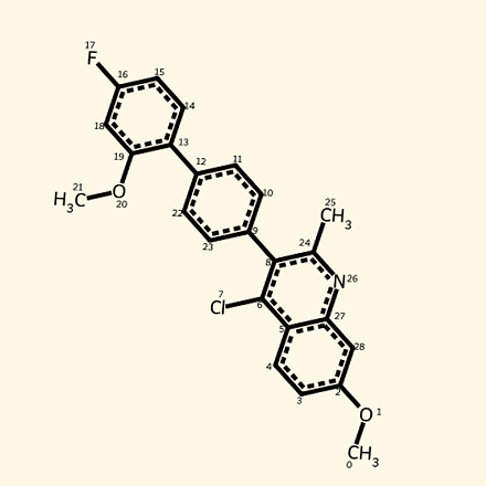 COc1ccc2c(Cl)c(-c3ccc(-c4ccc(F)cc4OC)cc3)c(C)nc2c1